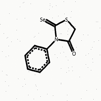 O=C1CSC(=[Se])N1c1ccccc1